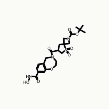 CC(C)(C)OC(=O)N1CC2(CC(C(=O)N3CCOc4cc(C(=O)NO)ccc4C3)CS2(=O)=O)C1